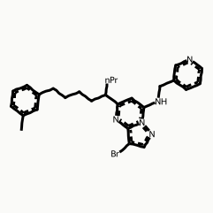 CCCC(CCCCc1cccc(C)c1)c1cc(NCc2cccnc2)n2ncc(Br)c2n1